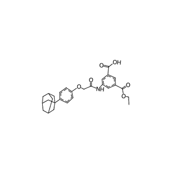 CCOC(=O)c1cc(NC(=O)COc2ccc(C34CC5CC(CC(C5)C3)C4)cc2)cc(C(=O)O)c1